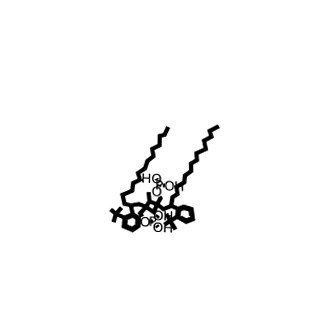 CCCCCCCCCCCCCCC(CC1(COP(O)O)CC(COP(O)O)(CC(CCCCCCCCCCCCCC)c2ccccc2C(C)(C)C)C1C)c1ccccc1C(C)(C)C